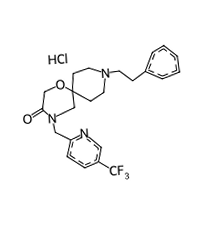 Cl.O=C1COC2(CCN(CCc3ccccc3)CC2)CN1Cc1ccc(C(F)(F)F)cn1